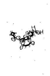 O=C1/C=C\C(=O)O[C@@H]2C(COC(=O)C3CCC3)O[C@@H](n3ccc(NO)nc3=O)[C@@H]2O1